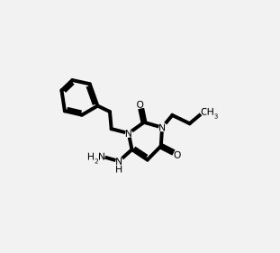 CCCn1c(=O)cc(NN)n(CCc2ccccc2)c1=O